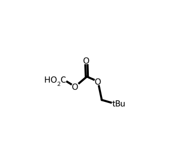 CC(C)(C)COC(=O)OC(=O)O